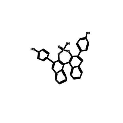 O=P1(O)Oc2c(-c3ccc(O)cc3)cc3ccccc3c2-c2c(c(-c3ccc(O)cc3)cc3ccccc23)O1